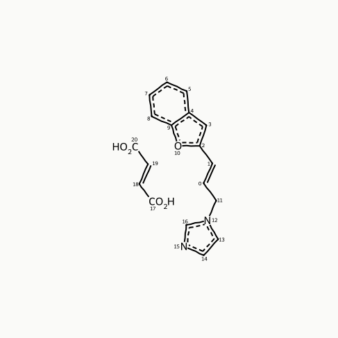 C(=C\c1cc2ccccc2o1)/Cn1ccnc1.O=C(O)/C=C/C(=O)O